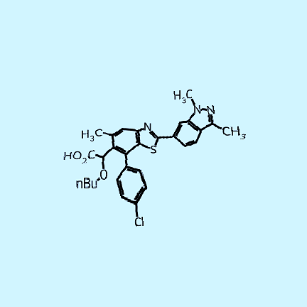 CCCCOC(C(=O)O)c1c(C)cc2nc(-c3ccc4c(C)nn(C)c4c3)sc2c1-c1ccc(Cl)cc1